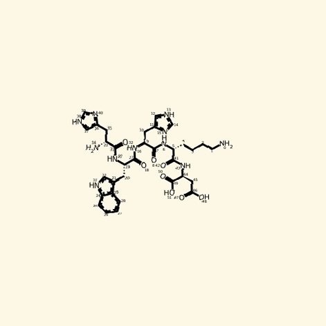 NCCCC[C@@H](NC(=O)[C@H](Cc1c[nH]cn1)NC(=O)[C@H](Cc1c[nH]c2ccccc12)NC(=O)[C@H](N)Cc1c[nH]cn1)C(=O)N[C@@H](CC(=O)O)C(=O)O